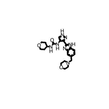 O=C(Nc1c[nH]nc1-c1nc2cc(CN3CCOCC3)ccc2[nH]1)NC1CCOCC1